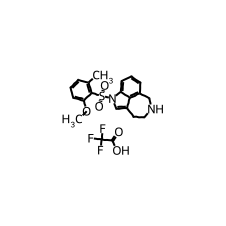 COc1cccc(C)c1S(=O)(=O)n1cc2c3c(cccc31)CNCC2.O=C(O)C(F)(F)F